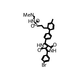 CNCNS(=O)(=O)CCCc1cc(C)ccc1-c1ccc(C2=C3C(=O)NC(c4ccc(Br)cc4)=C3C(=O)N2)cc1